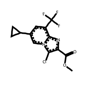 COC(=O)c1nc2c(C(F)(F)F)cc(C3CC3)cn2c1Cl